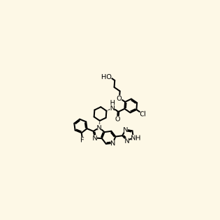 O=C(N[C@H]1CCC[C@@H](n2c(-c3ccccc3F)nc3cnc(-c4nc[nH]n4)cc32)C1)c1cc(Cl)ccc1OCCCO